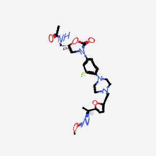 CO/N=C(\C)c1ccc(CN2CCN(c3ccc(N4C[C@H](CNC(C)=O)OC4=O)cc3F)CC2)o1